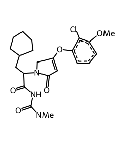 CNC(=O)NC(=O)C(CC1CCCCC1)N1CC(Oc2cccc(OC)c2Cl)=CC1=O